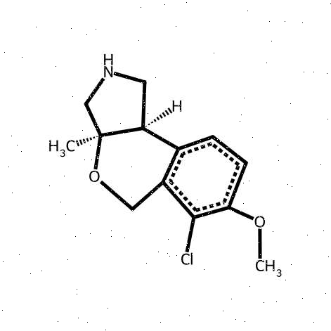 COc1ccc2c(c1Cl)CO[C@@]1(C)CNC[C@@H]21